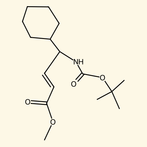 COC(=O)/C=C/C(NC(=O)OC(C)(C)C)C1CCCCC1